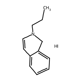 CCCN1C=Cc2ccccc2C1.I